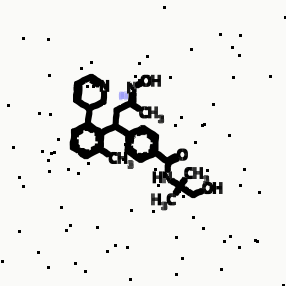 C/C(CC(c1ccc(C(=O)NC(C)(C)CO)cc1)c1c(C)cccc1C1C=CC=NC1)=N\O